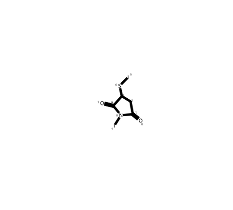 O=C1CC(SI)C(=O)N1I